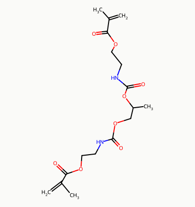 C=C(C)C(=O)OCCNC(=O)OCC(C)OC(=O)NCCOC(=O)C(=C)C